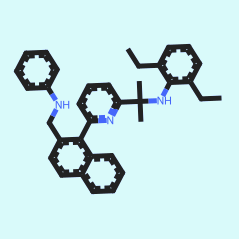 CCc1cccc(CC)c1NC(C)(C)c1cccc(-c2c(CNc3ccccc3)ccc3ccccc23)n1